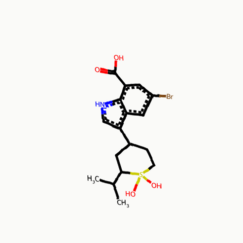 CC(C)C1CC(c2c[nH]c3c(C(=O)O)cc(Br)cc23)CCS1(O)O